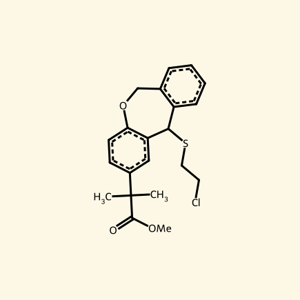 COC(=O)C(C)(C)c1ccc2c(c1)C(SCCCl)c1ccccc1CO2